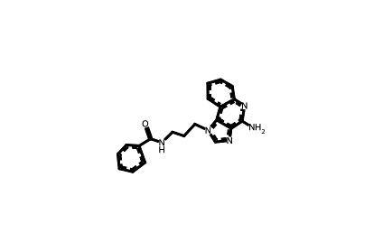 Nc1nc2ccccc2c2c1ncn2CCCNC(=O)c1ccccc1